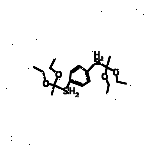 CCOC(C)(OCC)[SiH2]c1ccc([SiH2]C(C)(OCC)OCC)cc1